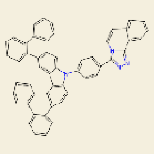 c1ccc(-c2ccccc2-c2ccc3c(c2)c2cc(-c4ccccc4-c4ccccc4)ccc2n3-c2ccc(-c3nnc4c5ccccc5ccn34)cc2)cc1